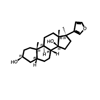 C[C@]12CC[C@H](O)C[C@H]1CC[C@@H]1[C@@H]2CC[C@]2(C)[C@@](C)(c3ccoc3)CC[C@]12O